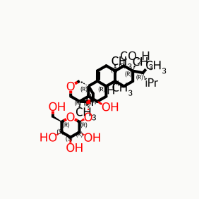 CC(C)[C@@H](C)[C@@]1(C)CC[C@]2(C)[C@H]3CC[C@@H]4[C@@]5(COC[C@]4(C)[C@@H](O[C@@H]4O[C@H](CO)[C@@H](O)[C@H](O)[C@H]4O)[C@H](O)C5)C3=CC[C@@]2(C)[C@@H]1C(=O)O